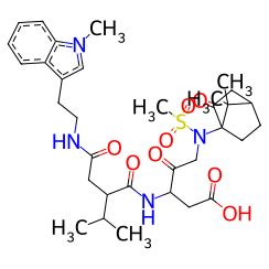 CC(C)C(CC(=O)NCCc1cn(C)c2ccccc12)C(=O)NC(CC(=O)O)C(=O)CN(C12CCC(CC1=O)C2(C)C)S(C)(=O)=O